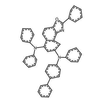 c1ccc(-c2ccc(N(c3ccccc3)c3cc(N(c4ccccc4)c4ccccc4)c4ccc5oc(-c6ccccc6)nc5c4c3)cc2)cc1